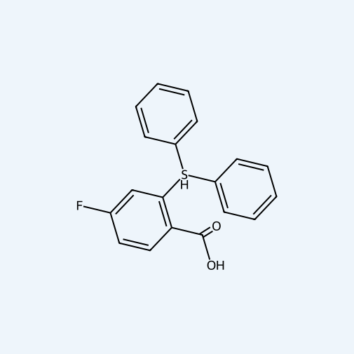 O=C(O)c1ccc(F)cc1[SH](c1ccccc1)c1ccccc1